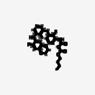 CCCCOC(=O)OC(=O)Nc1nccc(Cc2cncc(Nc3cc4c(cc3F)OCCO4)c2C)c1F